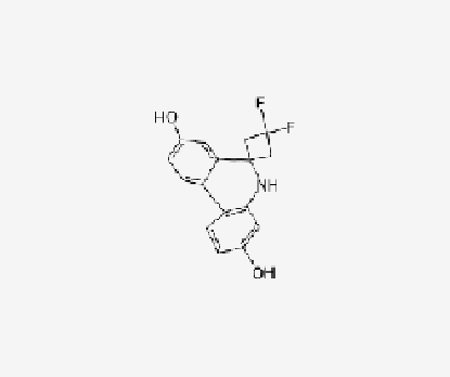 Oc1ccc2c(c1)NC1(CC(F)(F)C1)c1cc(O)ccc1-2